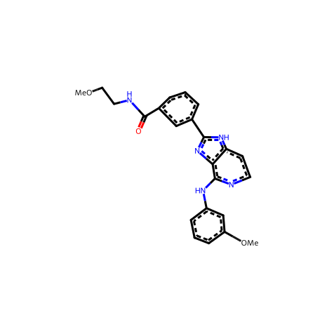 COCCNC(=O)c1cccc(-c2nc3c(Nc4cccc(OC)c4)nccc3[nH]2)c1